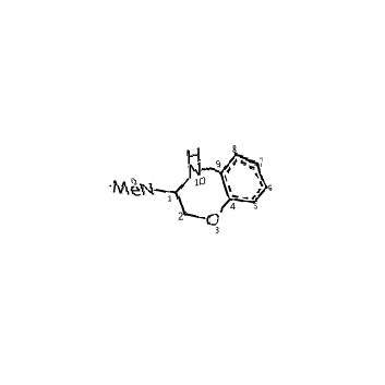 C[N]C1COc2ccccc2N1